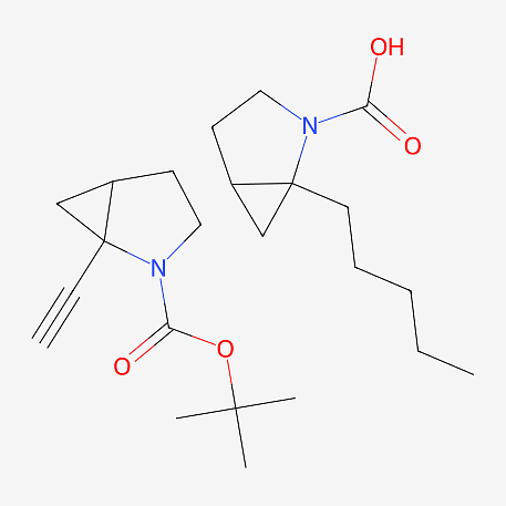 C#CC12CC1CCN2C(=O)OC(C)(C)C.CCCCCC12CC1CCN2C(=O)O